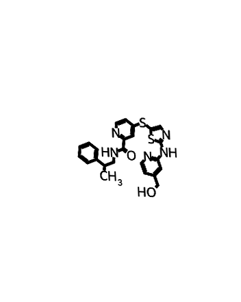 CC(CNC(=O)c1cc(Sc2cnc(Nc3cc(CO)ccn3)s2)ccn1)c1ccccc1